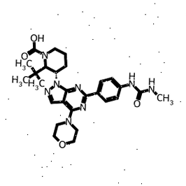 CNC(=O)Nc1ccc(-c2nc(N3CCOCC3)c3cnn([C@H]4CCCN(C(=O)O)C4C(C)(C)C)c3n2)cc1